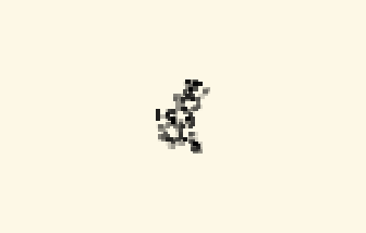 Cc1ccc(Oc2ccccc2C#N)c(O)c1